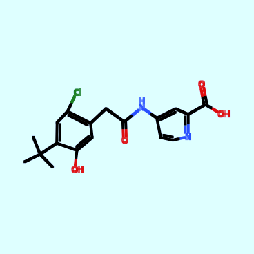 CC(C)(C)c1cc(Cl)c(CC(=O)Nc2ccnc(C(=O)O)c2)cc1O